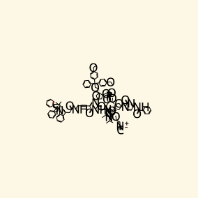 [C-]#[N+]CCOP(OC1C[C@H](n2ccc(NC(=O)c3ccccc3)nc2=O)O[C@@H]1COP(=O)(OCC[N+]#[C-])OC1C[C@H](n2cc(C#CCNC(=O)Cc3cn([Si](c4ccccc4)(c4ccccc4)C(C)(C)C)c4ccccc34)c(=O)[nH]c2=O)O[C@@H]1COC(c1ccccc1)(c1ccc(OC)cc1)c1ccc(OC)cc1)N(C(C)C)C(C)C